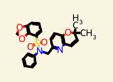 CC1(C)C=Cc2nc(CN(c3ccccc3)S(=O)(=O)c3cccc4c3OCO4)ccc2O1